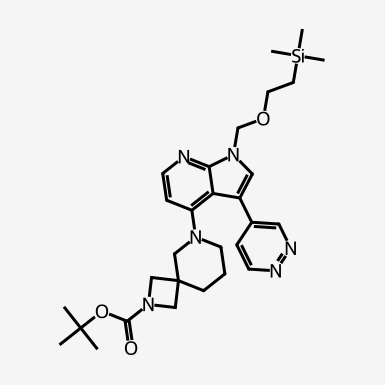 CC(C)(C)OC(=O)N1CC2(CCCN(c3ccnc4c3c(-c3ccnnc3)cn4COCC[Si](C)(C)C)C2)C1